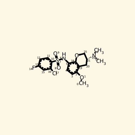 COc1ccc(NS(=O)(=O)c2ccc(F)cc2Cl)c2c1C[C@@H](N(C)C)CO2